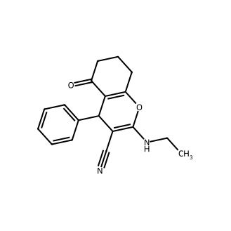 CCNC1=C(C#N)C(c2ccccc2)C2=C(CCCC2=O)O1